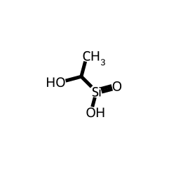 CC(O)[Si](=O)O